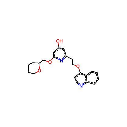 Oc1cc(CCOc2ccnc3ccccc23)nc(OCC2CCCCO2)c1